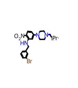 C[C](C)CN1CCN(c2ccc([N+](=O)[O-])c(NCc3cccc(Br)c3)c2)CC1